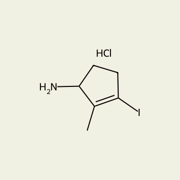 CC1=C(I)CCC1N.Cl